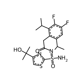 CC(C)c1cc(F)c(F)c(C(C)C)c1CC(=O)N=S(N)(=O)c1nc(C(C)(C)O)cs1